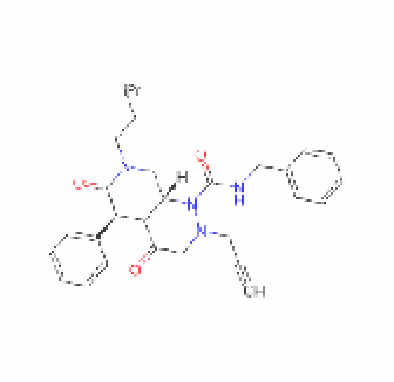 C#CCN1CC(=O)C2[C@@H](c3ccccc3)C(=O)N(CCC(C)C)C[C@@H]2N1C(=O)NCc1ccccc1